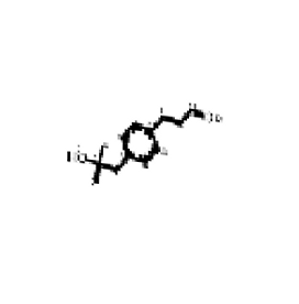 CC(C)(O)Cc1ccc(CCC=O)cc1